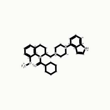 O=C(C1CCCCC1)N1c2c(cccc2OC(F)(F)F)CCC1CN1CCN(c2cccc3[nH]ccc23)CC1